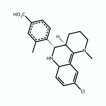 Cc1cc(C(=O)O)ccc1[C@H]1NC2C=CC(Cl)=CC2=C2[C@@H]1CCCN2C